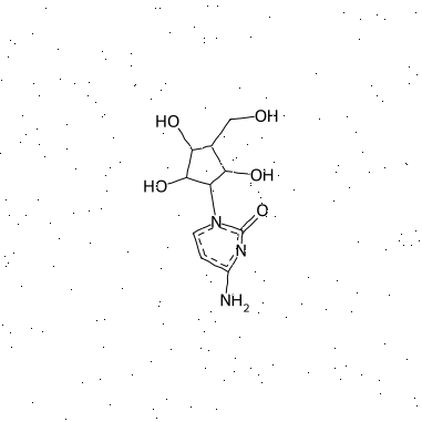 Nc1ccn(C2C(O)C(O)C(CO)C2O)c(=O)n1